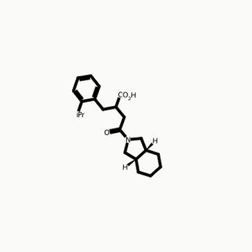 CC(C)c1ccccc1CC(CC(=O)N1C[C@H]2CCCC[C@H]2C1)C(=O)O